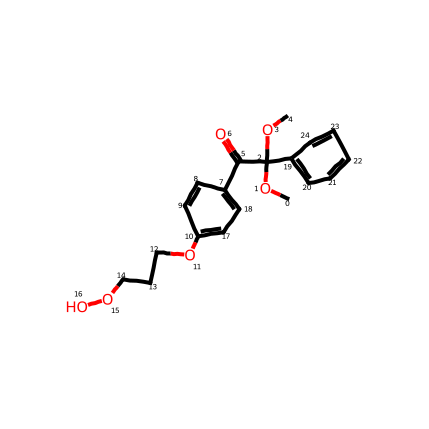 COC(OC)(C(=O)c1ccc(OCCCOO)cc1)c1ccccc1